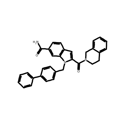 NC(=O)c1ccc2cc(C(=O)N3CCc4ccccc4C3)n(Cc3ccc(-c4ccccc4)cc3)c2c1